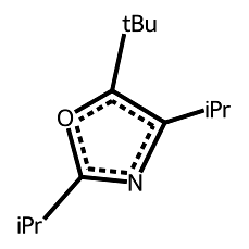 CC(C)c1nc(C(C)C)c(C(C)(C)C)o1